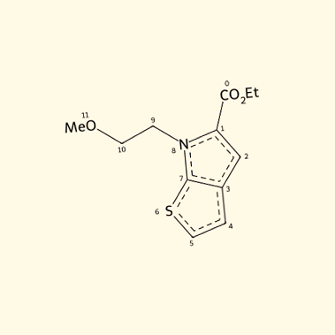 CCOC(=O)c1cc2ccsc2n1CCOC